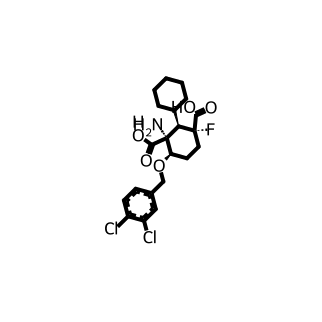 N[C@]1(C(=O)O)[C@@H](C2CCCCC2)[C@@](F)(C(=O)O)CC[C@H]1OCc1ccc(Cl)c(Cl)c1